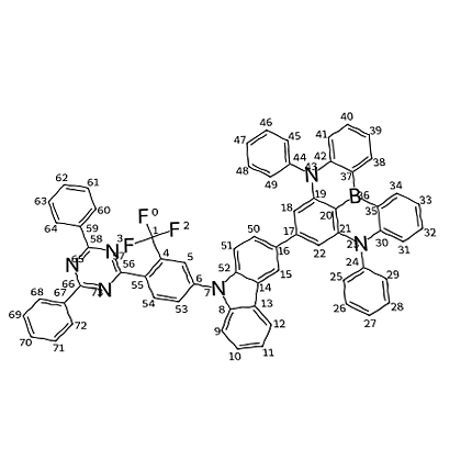 FC(F)(F)c1cc(-n2c3ccccc3c3cc(-c4cc5c6c(c4)N(c4ccccc4)c4ccccc4B6c4ccccc4N5c4ccccc4)ccc32)ccc1-c1nc(-c2ccccc2)nc(-c2ccccc2)n1